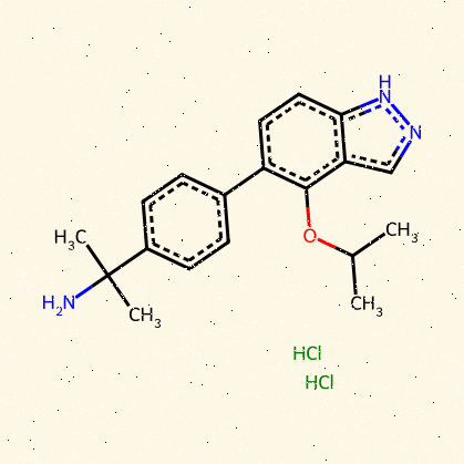 CC(C)Oc1c(-c2ccc(C(C)(C)N)cc2)ccc2[nH]ncc12.Cl.Cl